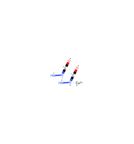 [Cu+2].[NH-]N=C=O.[NH-]N=C=O